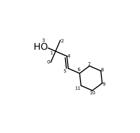 CC(C)(O)C=CC1CCCCC1